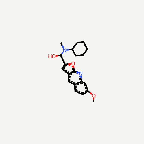 COc1ccc2cc3cc(C(O)N(C)C4CCCCC4)oc3nc2c1